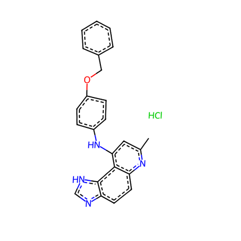 Cc1cc(Nc2ccc(OCc3ccccc3)cc2)c2c(ccc3nc[nH]c32)n1.Cl